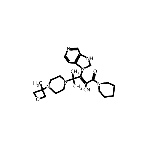 CC1(N2CCN(C(C)(C)C(=C(C#N)C(=O)N3CCCCC3)N3CNc4cnccc43)CC2)COC1